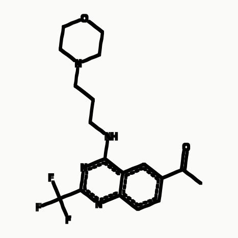 CC(=O)c1ccc2nc(C(F)(F)F)nc(NCCCN3CCOCC3)c2c1